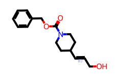 O=C(OCc1ccccc1)N1CCC(/C=C/CO)CC1